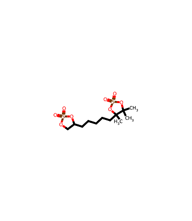 CC1(C)OS(=O)(=O)OC1(C)CCCCCC1COS(=O)(=O)O1